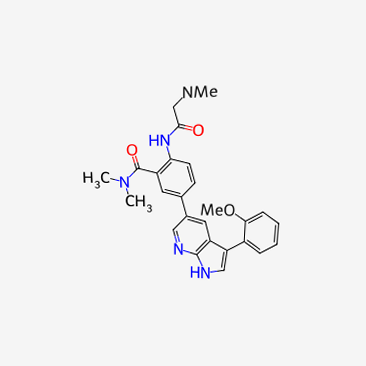 CNCC(=O)Nc1ccc(-c2cnc3[nH]cc(-c4ccccc4OC)c3c2)cc1C(=O)N(C)C